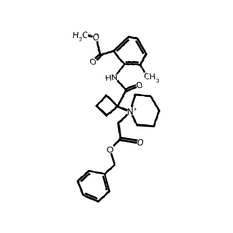 COC(=O)c1cccc(C)c1NC(=O)C1([N+]2(CC(=O)OCc3ccccc3)CCCCC2)CCC1